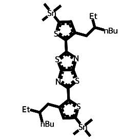 CCCCC(CC)Cc1c[c]([Sn]([CH3])([CH3])[CH3])sc1-c1nc2sc(-c3s[c]([Sn]([CH3])([CH3])[CH3])cc3CC(CC)CCCC)nc2s1